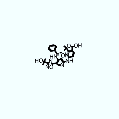 CC(C)(O)c1noc(-c2cnc(Nc3ccc4c(n3)C(C)(C)OC4O)cc2N[C@H](CO)c2ccccc2)n1